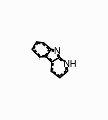 [c]1cccc2nc3[nH]cccc-3c12